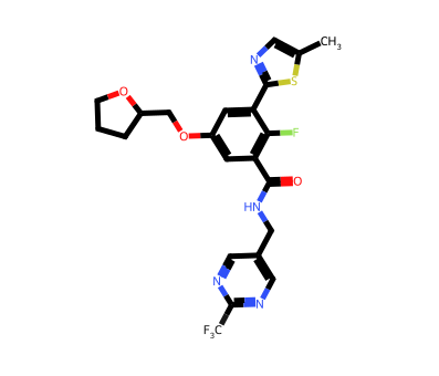 Cc1cnc(-c2cc(OCC3CCCO3)cc(C(=O)NCc3cnc(C(F)(F)F)nc3)c2F)s1